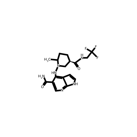 CC1CC[C@@H](C(=O)NCC(F)(F)F)CN1Nc1c(C(N)=O)cnc2[nH]ccc12